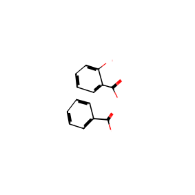 O=C(O)c1ccccc1.O=C(O)c1ccccc1O